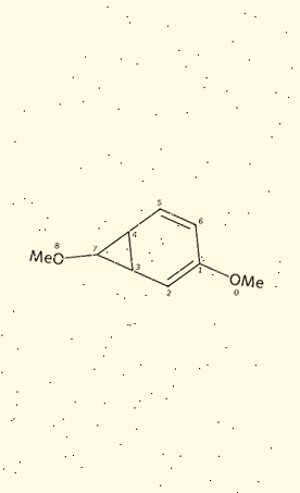 COC1=CC2C(C=C1)C2OC